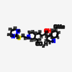 COc1ccc2nccc(C(O)CC[C@@H]3CCN(CCSc4ncccn4)C[C@@H]3CC(=O)O)c2c1